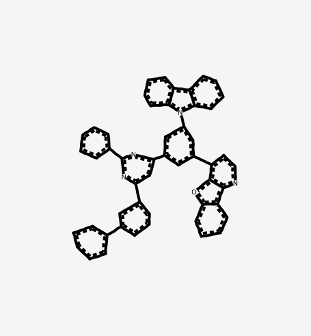 c1ccc(-c2cccc(-c3cc(-c4cc(-c5ccnc6c5oc5ccccc56)cc(-n5c6ccccc6c6ccccc65)c4)nc(-c4ccccc4)n3)c2)cc1